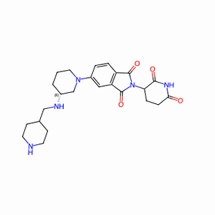 O=C1CCC(N2C(=O)c3ccc(N4CCC[C@@H](NCC5CCNCC5)C4)cc3C2=O)C(=O)N1